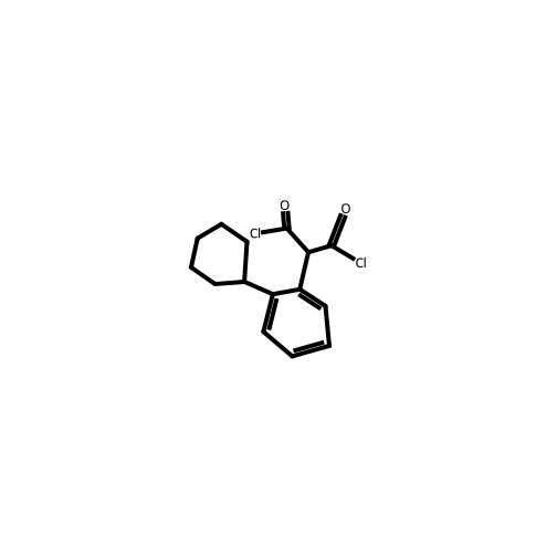 O=C(Cl)C(C(=O)Cl)c1ccccc1C1CCCCC1